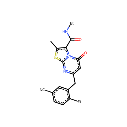 CCNC(=O)c1c(C)sc2nc(Cc3cc(C#N)ccc3CC)cc(=O)n12